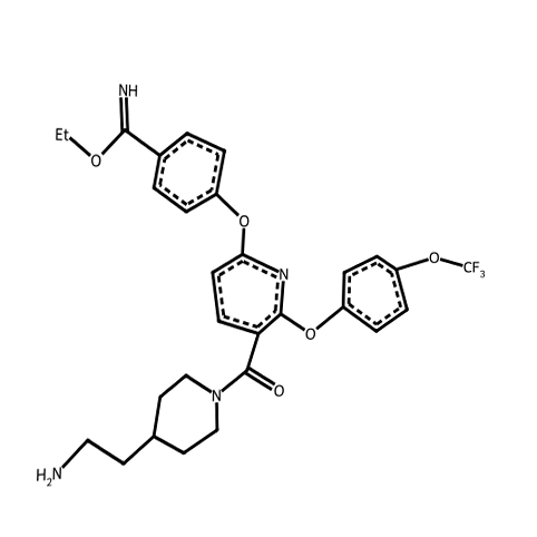 CCOC(=N)c1ccc(Oc2ccc(C(=O)N3CCC(CCN)CC3)c(Oc3ccc(OC(F)(F)F)cc3)n2)cc1